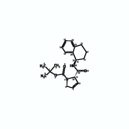 CC(C)(C)OC(=O)N1CC=C[C@H]1C(=O)N[C@@H]1CCCc2ccccc21